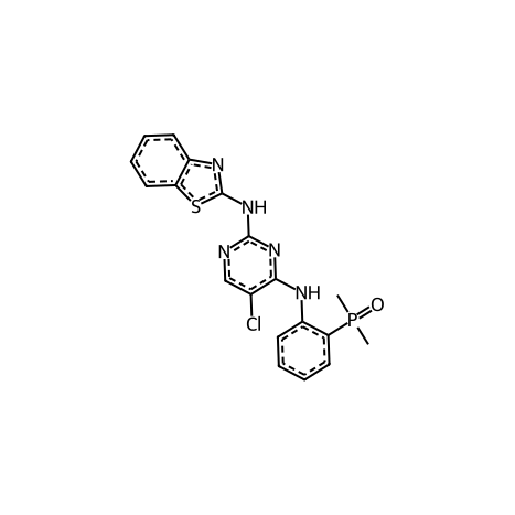 CP(C)(=O)c1ccccc1Nc1nc(Nc2nc3ccccc3s2)ncc1Cl